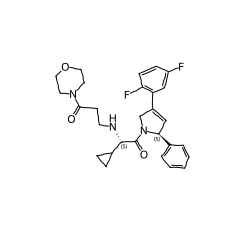 O=C(CCN[C@H](C(=O)N1CC(c2cc(F)ccc2F)=C[C@H]1c1ccccc1)C1CC1)N1CCOCC1